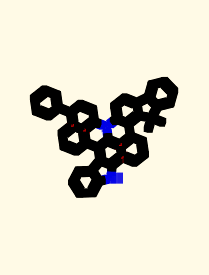 CC1(C)c2ccccc2-c2ccc(N(c3ccc(-c4ccccc4)cc3)c3ccc4[nH]c5ccccc5c4c3-c3ccccc3)c(-c3ccccc3)c21